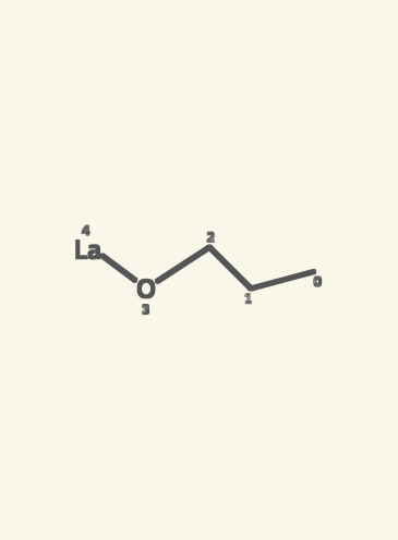 CCC[O][La]